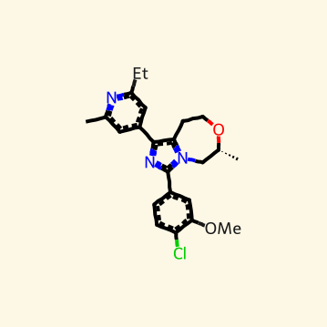 CCc1cc(-c2nc(-c3ccc(Cl)c(OC)c3)n3c2CCO[C@H](C)C3)cc(C)n1